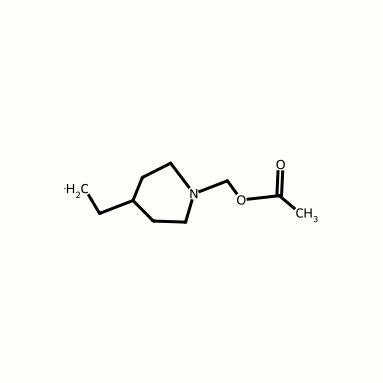 [CH2]CC1CCN(COC(C)=O)CC1